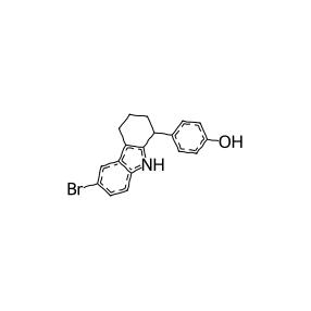 Oc1ccc(C2CCCc3c2[nH]c2ccc(Br)cc32)cc1